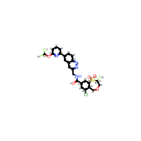 O=C(NCc1cc2cc(-c3cccc(OC(F)F)n3)ccc2nn1)c1cc(Cl)c2c(c1)S(=O)(=O)[C@@H](F)COC2